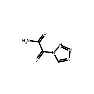 NC(=O)C(=S)n1cnnn1